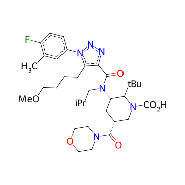 COCCCCc1c(C(=O)N(CC(C)C)[C@H]2C[C@@H](C(=O)N3CCOCC3)CN(C(=O)O)C2C(C)(C)C)nnn1-c1ccc(F)c(C)c1